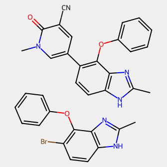 Cc1nc2c(Oc3ccccc3)c(-c3cc(C#N)c(=O)n(C)c3)ccc2[nH]1.Cc1nc2c(Oc3ccccc3)c(Br)ccc2[nH]1